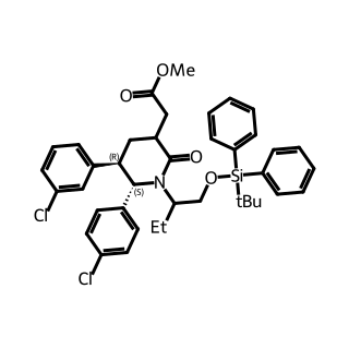 CCC(CO[Si](c1ccccc1)(c1ccccc1)C(C)(C)C)N1C(=O)C(CC(=O)OC)C[C@H](c2cccc(Cl)c2)[C@H]1c1ccc(Cl)cc1